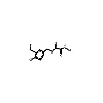 NNC(=O)C(=O)NCc1ccc(Cl)c(CF)c1